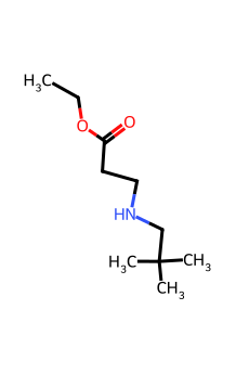 CCOC(=O)CCNCC(C)(C)C